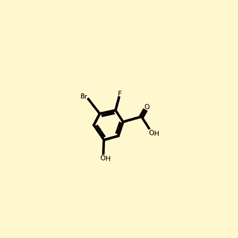 O=C(O)c1cc(O)cc(Br)c1F